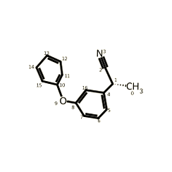 C[C@@H](C#N)c1cccc(Oc2ccccc2)c1